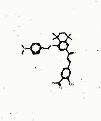 CN(C)c1ccc(COc2cc(C(=O)C=Cc3ccc(C(=O)O)c(O)c3)cc3c2C(C)(C)CCC3(C)C)cc1